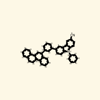 N#Cc1ccc2c(c1)c1cc(-c3cccc(-c4cc5c6ccccc6ccc5c5ccccc45)c3)ccc1n2-c1ccccc1